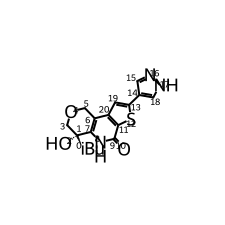 CC[C@H](C)[C@@]1(O)COCc2c1[nH]c(=O)c1sc(-c3cn[nH]c3)cc21